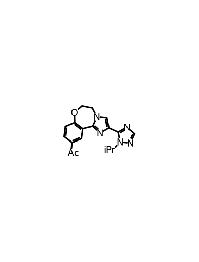 CC(=O)c1ccc2c(c1)-c1nc(-c3ncnn3C(C)C)cn1CCO2